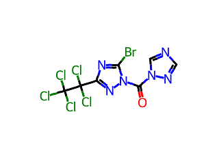 O=C(n1cncn1)n1nc(C(Cl)(Cl)C(Cl)(Cl)Cl)nc1Br